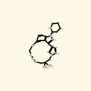 CC1(C)COCCCOc2ccc3c(c2)c(nn3C2CCCCO2)-c2cnn(c2)C1